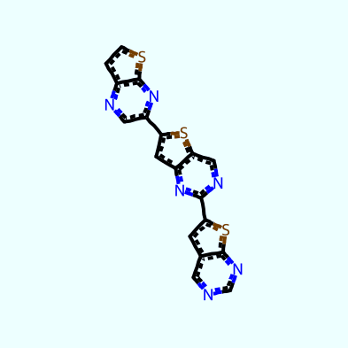 c1ncc2cc(-c3ncc4sc(-c5cnc6ccsc6n5)cc4n3)sc2n1